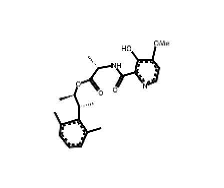 COc1ccnc(C(=O)N[C@@H](C)C(=O)O[C@H](C)[C@H](C)c2c(C)cccc2C)c1O